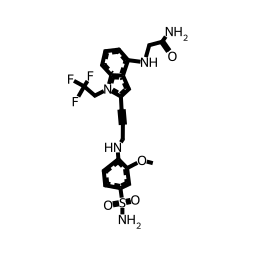 COc1cc(S(N)(=O)=O)ccc1NCC#Cc1cc2c(NCC(N)=O)cccc2n1CC(F)(F)F